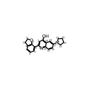 Oc1cc(-c2cccc3c2OCC3)nc2ccc(N3CCCC3)cc12